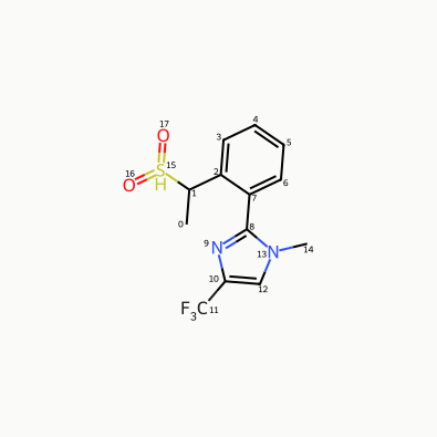 CC(c1ccccc1-c1nc(C(F)(F)F)cn1C)[SH](=O)=O